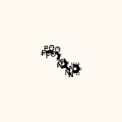 O=C(CC[n+]1ccc(-c2nnc3ccccn23)cn1)OC(=O)C(F)(F)F